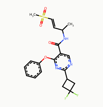 CC(C=CS(C)(=O)=O)NC(=O)c1cnc(C2CC(F)(F)C2)nc1Oc1ccccc1